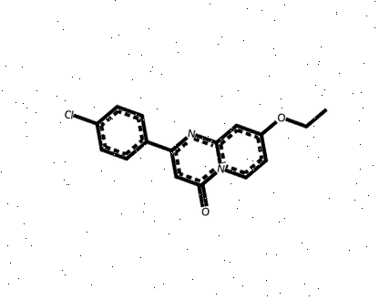 CCOc1ccn2c(=O)cc(-c3ccc(Cl)cc3)nc2c1